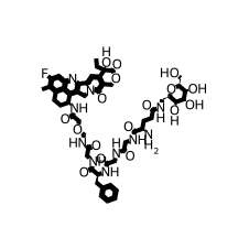 CC[C@@]1(O)C(=O)OCc2c1cc1n(c2=O)Cc2c-1nc1cc(F)c(C)c3c1c2[C@@H](NC(=O)COCNC(=O)CNC(=O)[C@H](Cc1ccccc1)NC(=O)CNC(=O)CNC(=O)[C@@H](N)CCC(=O)NC[C@@H]1O[C@H](CO)[C@@H](O)[C@H](O)[C@H]1O)CC3